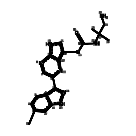 Cc1ccc2c(-c3cnc4[nH]cc(OC(=O)NC(C)(C)CN)c4n3)n[nH]c2c1